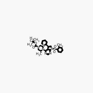 Cc1ccccc1S(=O)(=O)n1cc(-c2ccccn2)c2c(N3CCN(C(=O)OC(C)(C)C)C[C@@H]3C)ncnc21